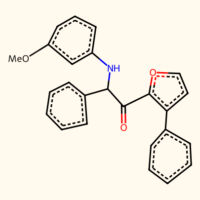 COc1cccc(NC(C(=O)c2occc2-c2ccccc2)c2ccccc2)c1